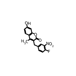 Cc1c(Cc2ccc(F)c([N+](=O)[O-])c2)c(=O)oc2cc(O)ccc12